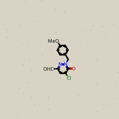 COc1ccc(Cn2nc(C=O)cc(Cl)c2=O)cc1